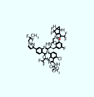 CC(F)(F)Cn1ccc(-c2ccc3c(=O)n(-c4ccc(Cl)c5c(NS(C)(=O)=O)nn(CC(F)F)c45)c([C@H](Cc4cc(F)cc(F)c4)NC(=O)Cn4nc(C(F)F)c5c4C(F)(F)[C@@H]4C[C@H]54)nc3c2)n1